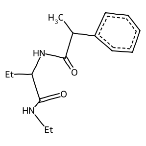 CCNC(=O)C(CC)NC(=O)C(C)c1ccccc1